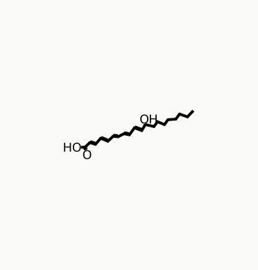 CCCCCCCCC(O)C=CC=CC=CC=CC=CC(=O)O